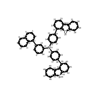 c1cc(-c2cccc3ccccc23)cc(N(c2ccc(-c3cccc4c3oc3ccccc34)cc2)c2ccc(-c3cccc4sc5ccccc5c34)cc2)c1